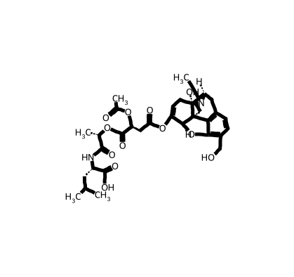 CC(=O)O[C@@H](CC(=O)OC1=CC[C@@]2(O)[C@H]3Cc4ccc(CO)c5c4[C@@]2(CCN3C)[C@H]1O5)C(=O)O[C@@H](C)C(=O)N[C@@H](CC(C)C)C(=O)O